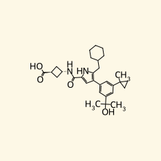 CC(C)(O)c1cc(-c2cc(C(=O)N[C@H]3C[C@H](C(=O)O)C3)[nH]c2CC2CCCCC2)cc(C2(C)CC2)c1